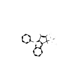 CC1=C(C)C(C)([Si](C)(C)C)c2c1n(-c1ccccc1)c1ccccc21